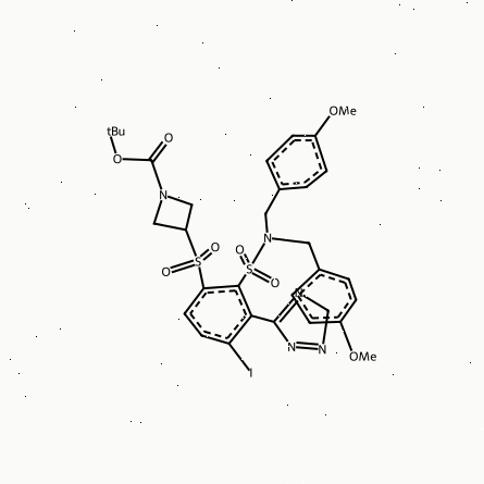 COc1ccc(CN(Cc2ccc(OC)cc2)S(=O)(=O)c2c(S(=O)(=O)C3CN(C(=O)OC(C)(C)C)C3)ccc(I)c2C2=NCN=N2)cc1